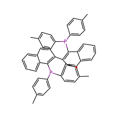 Cc1ccc(P(c2ccc(C)cc2)c2c(-c3ccc4ccccc4c3P(c3ccc(C)cc3)c3ccc(C)cc3)ccc3ccccc23)cc1